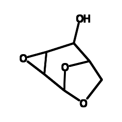 OC1C2COC(O2)C2OC12